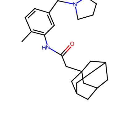 Cc1ccc(CN2CCCC2)cc1NC(=O)CC12CC3CC(CC(C3)C1)C2